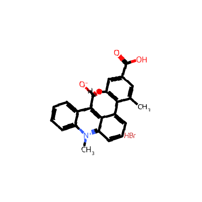 Br.Cc1cc(C(=O)O)cc(C)c1-c1cccc2c1c(C(=O)[O-])c1ccccc1[n+]2C